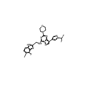 Fc1ccc2[nH]c(CNc3nc(N4CCOCC4)nc4c(-c5cnn(C(F)F)c5)cnn34)nc2c1F